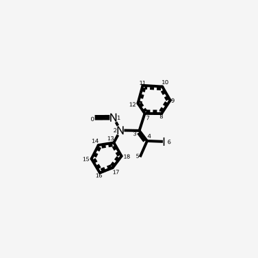 C=NN(/C(=C(\C)I)c1ccccc1)c1ccccc1